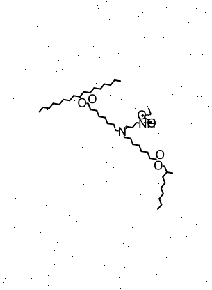 CCCCCCCCC(CCCCCCCC)OC(=O)CCCCCCCN(CCCCCCCC(=O)OCC(C)CCCCCCC)CCCNS(=O)(=O)CC